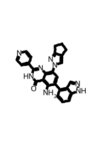 Nc1c(-c2cccc3[nH]ncc23)cc(-n2cc3c(n2)CCC3)c2nc(-c3ccncc3)[nH]c(=O)c12